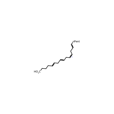 CCCCCC=CC/C=C\CC=CCC=CCCCC(=O)O